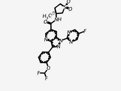 C[C@]1(NC(=O)c2cnc3c(-c4cccc(OC(F)F)c4)nn(-c4ncc(F)cn4)c3c2)CCS(=O)(=O)C1